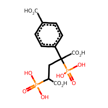 O=C(O)c1ccc(C(CC(C(=O)O)P(=O)(O)O)(C(=O)O)P(=O)(O)O)cc1